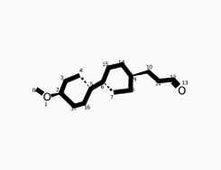 CO[C@H]1CC[C@H]([C@H]2CC[C@H](CCC=O)CC2)CC1